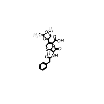 C=CC(OC(C)=O)C1=C(C(=O)O)N2C(=O)[C@@H](NC(=O)Cc3ccccc3)[C@H]2SC1